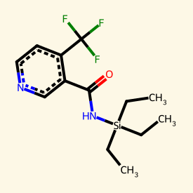 CC[Si](CC)(CC)NC(=O)c1cnccc1C(F)(F)F